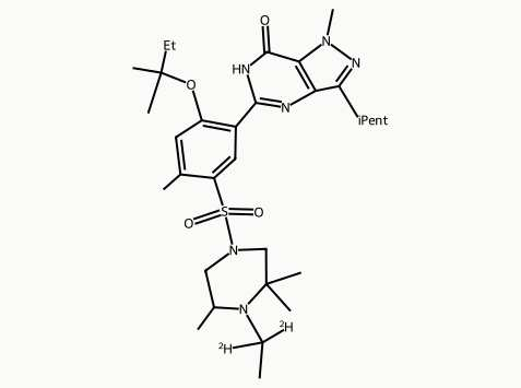 [2H]C([2H])(C)N1C(C)CN(S(=O)(=O)c2cc(-c3nc4c(C(C)CCC)nn(C)c4c(=O)[nH]3)c(OC(C)(C)CC)cc2C)CC1(C)C